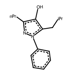 CCCc1nn(-c2ccccc2)c(CC(C)C)c1O